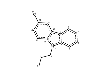 CCCn1c2ccccc2c2cc(Cl)ccc21